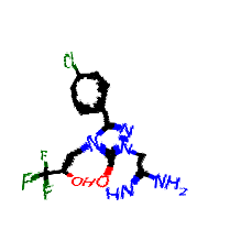 N=C(N)Cn1nc(-c2ccc(Cl)cc2)n(CC(O)C(F)(F)F)c1=O